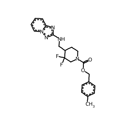 Cc1ccc(COC(=O)N2CCC(CNc3nc4ccccn4n3)C(F)(F)C2)cc1